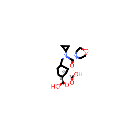 O=C(O)[C@H]1CCC(CN(C(=O)N2CCOCC2)C2CC2)C[C@@H]1C(=O)O